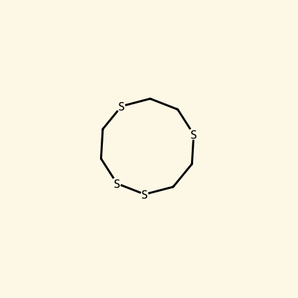 C1CSCCSSCCS1